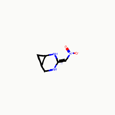 O=[N+]([O-])/C=C1/NCC2CC2N1